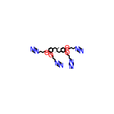 C[C@H](Cc1ccc(OCCCCN2CCN(C)CC2)c(OCCCCN2CCN(C)CC2)c1)[C@@H](C)Cc1ccc(OCCCCN2CCN(C)CC2)c(OCCCCN2CCN(C)CC2)c1